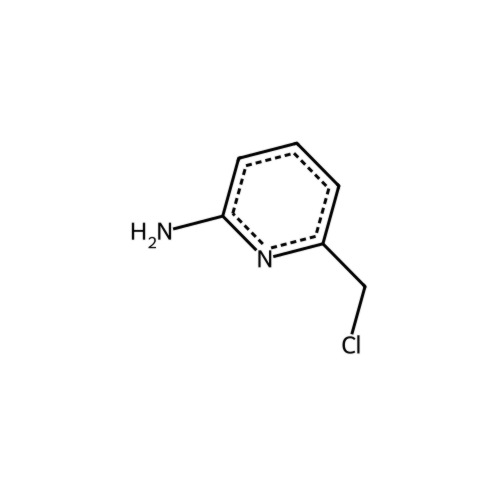 Nc1cccc(CCl)n1